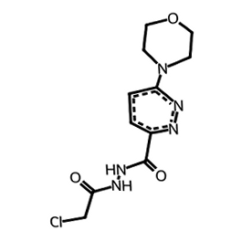 O=C(CCl)NNC(=O)c1ccc(N2CCOCC2)nn1